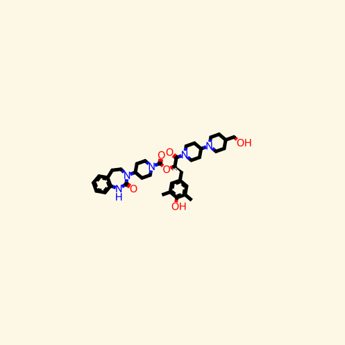 Cc1cc(C[C@@H](OC(=O)N2CCC(N3CCc4ccccc4NC3=O)CC2)C(=O)N2CCC(N3CCC(CO)CC3)CC2)cc(C)c1O